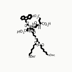 CCCCCCCCCCCCCCCC(=O)OC[C@H](CSCCC(=O)N[C@](CCC(=O)O)(NC(=O)OCC1c2ccccc2-c2ccccc21)C(=O)NCC(=O)N[C@H](CCC(=O)O)C(=O)O)OC(=O)CCCCCCCCCCCCCCC